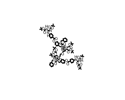 CC(C)(C)OC(=O)C[C@@H](C(=O)OC(C)(C)C)N(CCOCCN([C@@H](CC(=O)OC(C)(C)C)C(=O)OC(C)(C)C)S(=O)(=O)N(Cc1ccc(OC(=O)c2ccc(NC(=NC(=O)OC(C)(C)C)NC(=O)OC(C)(C)C)cc2)cc1)C(=O)OCc1ccccc1)S(=O)(=O)N(Cc1ccc(OC(=O)c2ccc(NC(=NC(=O)OC(C)(C)C)NC(=O)OC(C)(C)C)cc2)cc1)C(=O)OCc1ccccc1